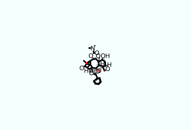 CC(=O)O[C@@]12CO[C@@H]1C[C@H](O)[C@@]1(C)C(=O)[C@H](OC(=O)N(C)C)C3=C(C)C(=O)C[C@@](O)([C@@H](OC(=O)c4ccccc4)[C@H]21)C3(C)C